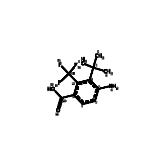 CC(C)(C)c1c(N)ccc(C(=O)O)c1C(F)(F)F